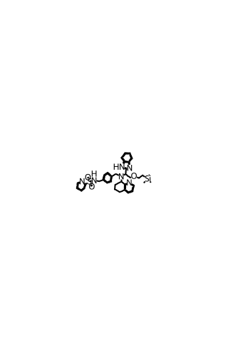 C[Si](C)(C)CCOCC(c1nc2ccccc2[nH]1)N(Cc1ccc(CNS(=O)(=O)c2ccccn2)cc1)C1CCCc2cccnc21